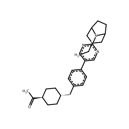 CCN1CC2CCC(C1)N2c1ncc(-c2ccc(C[C@H]3CC[C@H](C(C)=O)CC3)cc2)cn1